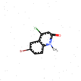 Cn1c(=O)cc(Cl)c2cc(Br)ccc21